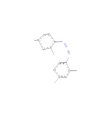 Cc1ccc(N=C=Nc2ccc(C)cc2C)c(C)c1